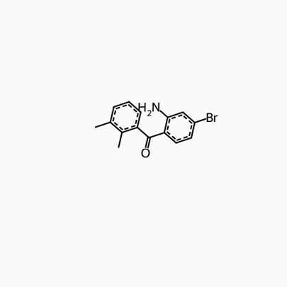 Cc1cccc(C(=O)c2ccc(Br)cc2N)c1C